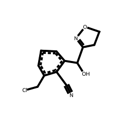 N#Cc1c(CCl)cccc1C(O)C1=NOCC1